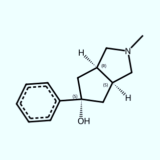 CN1C[C@@H]2C[C@](O)(c3ccccc3)C[C@@H]2C1